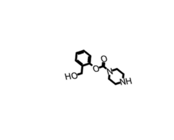 O=C(Oc1ccccc1CO)N1CCNCC1